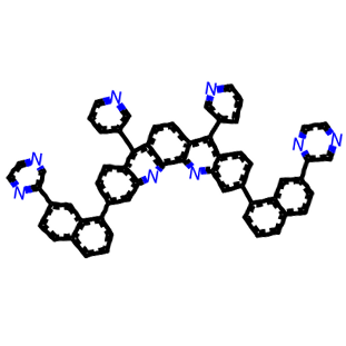 c1cncc(-c2c3ccc(-c4cccc5ccc(-c6cnccn6)cc45)cc3nc3c2ccc2c(-c4cccnc4)c4ccc(-c5cccc6ccc(-c7cnccn7)cc56)cc4nc23)c1